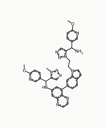 COc1ccc(C(N)c2cnnn2CCn2ccc3ccc(-c4cc(NC(c5ccc(OC)nc5)c5cnnn5C)cc5nccnc45)cc32)cn1